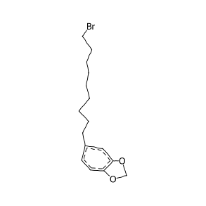 BrCCCCCCCCCc1ccc2c(c1)OCO2